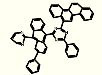 c1ccc(-c2ccc3c(-c4nc(-c5ccccc5)nc(-c5cc6c7ccccc7ccc6c6ccccc56)n4)c4ccccc4c(-c4ncccn4)c3c2)cc1